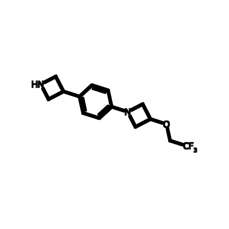 FC(F)(F)COC1CN(c2ccc(C3CNC3)cc2)C1